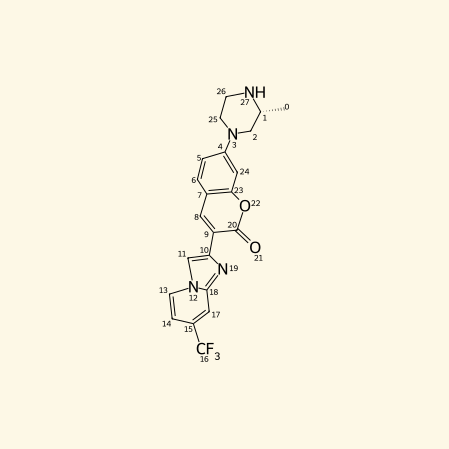 C[C@@H]1CN(c2ccc3cc(-c4cn5ccc(C(F)(F)F)cc5n4)c(=O)oc3c2)CCN1